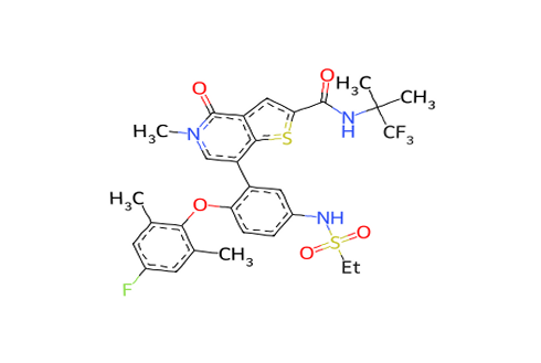 CCS(=O)(=O)Nc1ccc(Oc2c(C)cc(F)cc2C)c(-c2cn(C)c(=O)c3cc(C(=O)NC(C)(C)C(F)(F)F)sc23)c1